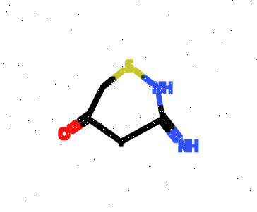 N=C1[CH]C(=O)CSN1